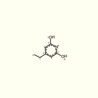 CCc1cc(O)nc(O)c1